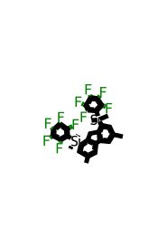 Cc1cc2c(c([Si](C)(C)c3c(F)c(F)c(F)c(F)c3F)c1)Cc1c-2cc(C)cc1[Si](C)(C)c1c(F)c(F)c(F)c(F)c1F